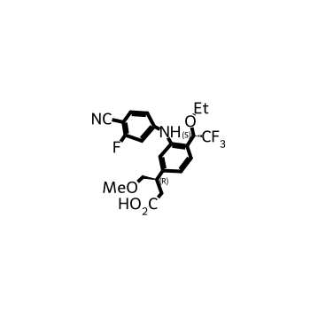 CCO[C@@H](c1ccc([C@H](COC)CC(=O)O)cc1Nc1ccc(C#N)c(F)c1)C(F)(F)F